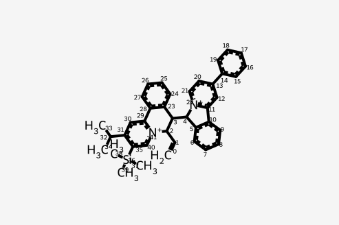 C=CC1C(C2c3ccccc3-c3cc(-c4ccccc4)cc[n+]32)c2ccccc2-c2cc(C(C)C)c([Si](C)(C)C)c[n+]21